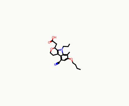 CCCCOc1cc(C#N)c2c3c(n(CCC)c2c1C)C(CC(=O)O)OCC3